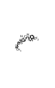 Cc1cc(-c2ccc(S(=O)(=O)N3CCN(C[C@H](C)Nc4ncnc5c(C(F)(F)F)cccc45)CC3)s2)on1